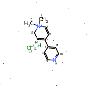 C[N+]1(C)C=CC(c2ccncc2)=CC1.Cl.[Cl-]